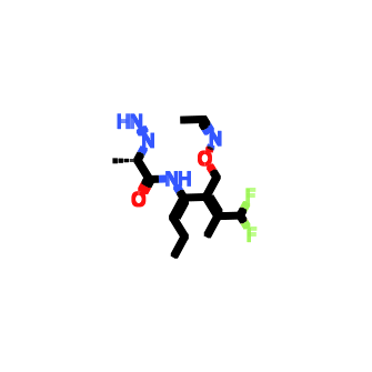 C/C=N\OCC(=C(/C)C(F)F)/C(=C\CC)NC(=O)[C@H](C)N=N